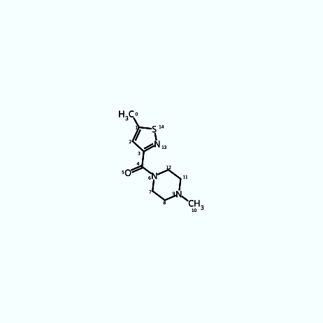 Cc1cc(C(=O)N2CCN(C)CC2)ns1